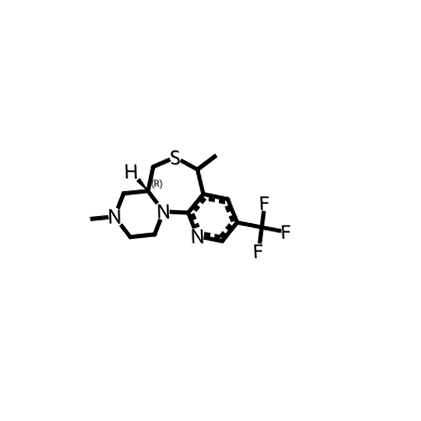 CC1SC[C@H]2CN(C)CCN2c2ncc(C(F)(F)F)cc21